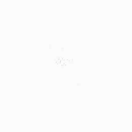 CCCCCCCCCCCCCCCCCCn1c(N)nc2c(ncn2[C@@H]2O[C@H](CO)[C@@H](O)[C@H]2O)c1=O